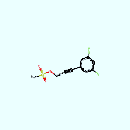 CS(=O)(=O)OCC#Cc1cc(F)cc(F)c1